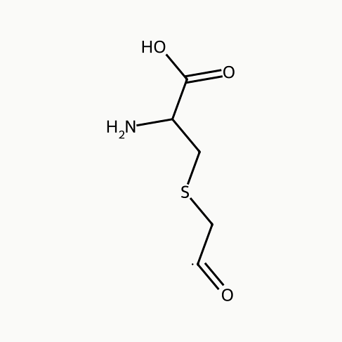 NC(CSC[C]=O)C(=O)O